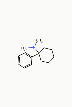 CN(C)C1(c2ccccc2)CCCCC1